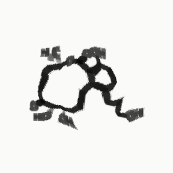 C[C@H]1C/C=C\C(=O)[C@@H](O)[C@@H](O)C/C=C/c2c(CCCO)ccc(O)c2C(=O)O1